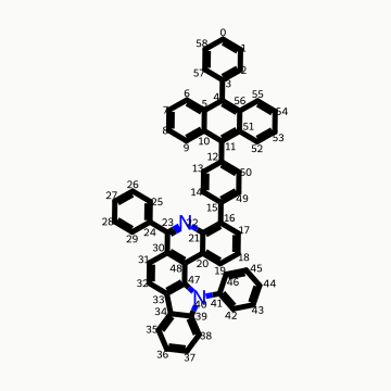 c1ccc(-c2c3ccccc3c(-c3ccc(-c4cccc5c4nc(-c4ccccc4)c4ccc6c7ccccc7n(-c7ccccc7)c6c45)cc3)c3ccccc23)cc1